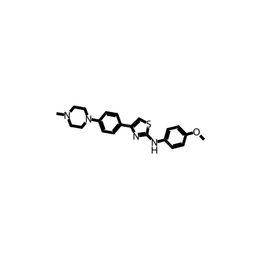 COc1ccc(Nc2nc(-c3ccc(N4CCN(C)CC4)cc3)cs2)cc1